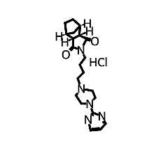 Cl.O=C1[C@@H]2[C@H]3CC[C@H](C3)[C@@H]2C(=O)N1CCCCN1CCN(c2ncccn2)CC1